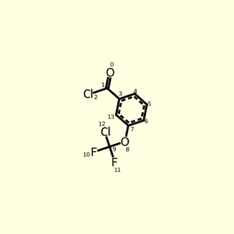 O=C(Cl)c1cccc(OC(F)(F)Cl)c1